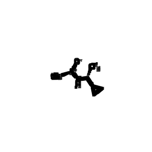 CC(C)(C)[S@@+]([O-])N[C@@H](C1CC1)C(F)(F)F